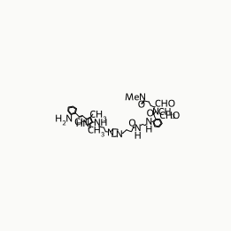 CNC(=O)CCC(C=O)N(C)C(=O)c1c(C=O)cccc1NCCNC(=O)CCCN1CCN(CCCNc2c(C)[nH]c(/C=C(\C)c3ccccc3N)c2C)CC1